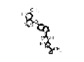 C[C@H]1Cc2c(ncnc2Oc2ccc3c(ccn3C(=O)Nc3cc(C4(C)CC4)n[nH]3)c2)CN1